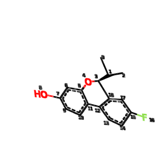 CC(C)[C@@H]1Oc2cc(O)ccc2-c2ccc(F)cc21